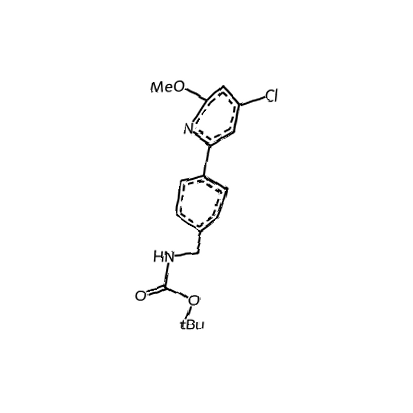 COc1cc(Cl)cc(-c2ccc(CNC(=O)OC(C)(C)C)cc2)n1